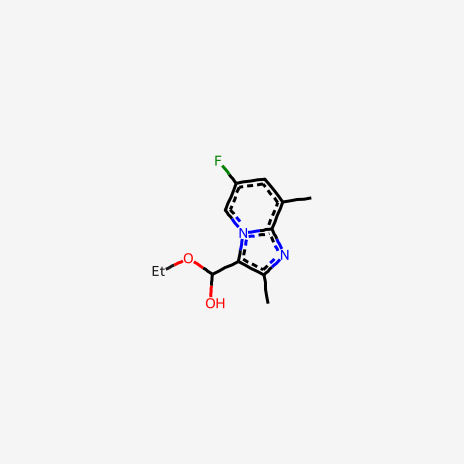 CCOC(O)c1c(C)nc2c(C)cc(F)cn12